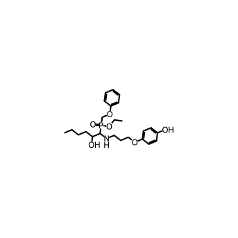 CCCCC(O)C(NCCCOc1ccc(O)cc1)P(=O)(COc1ccccc1)OCC